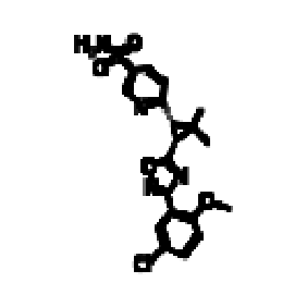 COc1ccc(Cl)cc1-c1noc([C@H]2[C@H](c3ccc(S(N)(=O)=O)cn3)C2(C)C)n1